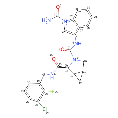 NC(=O)n1cc(NC(=O)N2CC3CC3[C@H]2C(=O)NCc2cccc(Cl)c2F)c2ccccc21